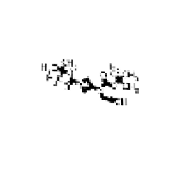 C#CCN(C(=O)OC(C)(C)C)C1CN(C(=O)OC(C)(C)C)C1